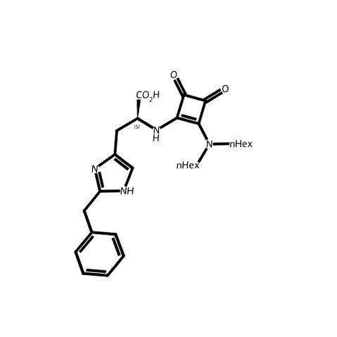 CCCCCCN(CCCCCC)c1c(N[C@@H](Cc2c[nH]c(Cc3ccccc3)n2)C(=O)O)c(=O)c1=O